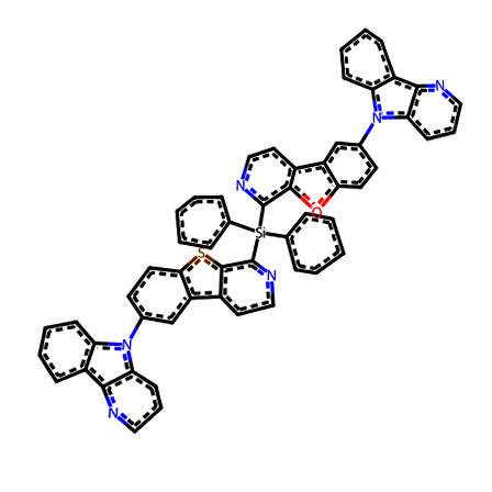 c1ccc([Si](c2ccccc2)(c2nccc3c2oc2ccc(-n4c5ccccc5c5ncccc54)cc23)c2nccc3c2sc2ccc(-n4c5ccccc5c5ncccc54)cc23)cc1